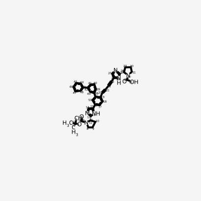 CC(C)(C)OC(=O)N1CCC[C@H]1c1ncc(-c2ccc(C#CC#Cc3cnc([C@@H]4CCCN4C(=O)O)[nH]3)c(-c3cccc(-c4ccccc4)c3)c2)[nH]1